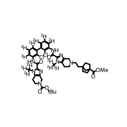 [2H]c1c([2H])c(NC(=O)c2nc3c(n2C([2H])([2H])[2H])CCN(CCC24CCC(C(=O)OC)(CC2)C4)C3)c(Cl)c(-c2c([2H])c([2H])c([2H])c(NC(=O)c3nc4c(n3C([2H])([2H])[2H])CCN(C(=O)OC(C)(C)C)C4)c2Cl)c1[2H]